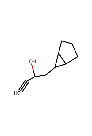 C#CC(O)CC1C2CCCC21